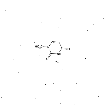 O=C(O)n1ccc(=O)[nH]c1=O.[Zn]